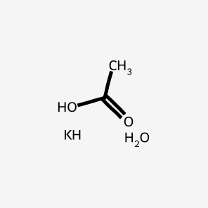 CC(=O)O.O.[KH]